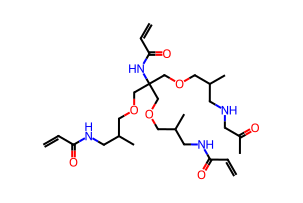 C=CC(=O)NCC(C)COCC(COCC(C)CNCC(C)=O)(COCC(C)CNC(=O)C=C)NC(=O)C=C